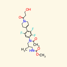 COC(=O)NCC(C)CN(C(C)=O)c1cc(F)c(C2=CCN(C(=O)CCO)CC2)c(F)c1F